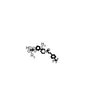 CC(C)(Oc1cccc([C@]2(C)CCCN(C(=O)CCc3ccc(C(F)(F)F)cc3)C2)c1)C(=O)O